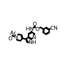 CC(=O)C(=O)N1CC=C(c2c[nH]c3ncc(NC(=O)OCc4cccc(C#N)c4)cc23)CC1